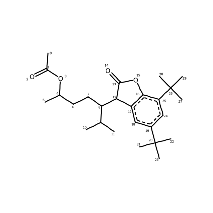 CC(=O)OC(C)CCC(C(C)C)C1C(=O)Oc2c1cc(C(C)(C)C)cc2C(C)(C)C